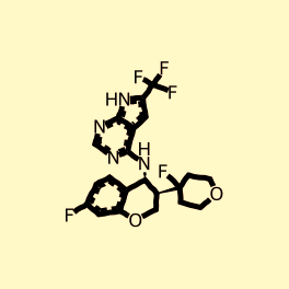 Fc1ccc2c(c1)OC[C@H](C1(F)CCOCC1)[C@H]2Nc1ncnc2[nH]c(C(F)(F)F)cc12